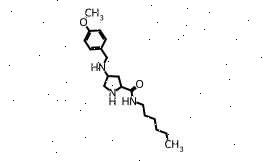 CCCCCCNC(=O)C1CC(NCc2ccc(OC)cc2)CN1